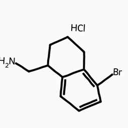 Cl.NCC1CCCc2c(Br)cccc21